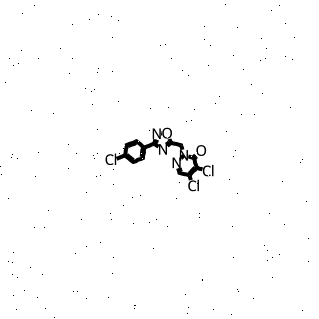 O=c1c(Cl)c(Cl)cnn1Cc1nc(-c2ccc(Cl)cc2)no1